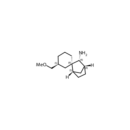 COC[C@H]1CCC[C@@]2(C1)[C@H]1CC[C@H](C1)[C@H]2N